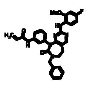 C=CC(=O)Nc1cccc(N2C(=O)N(Cc3ccccc3)CCc3cnc(Nc4ccc(F)cc4OC)nc32)c1